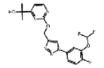 CC(C)(O)c1ccnc(OCc2cn(-c3ccc(F)c(OC(F)F)c3)nn2)n1